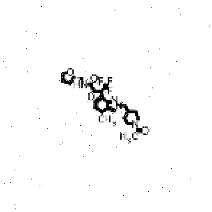 CC(=O)N1CCC(Cn2cc3c(n2)-c2c(oc(C(=O)NC[C@@H]4CCCO4)c2C(F)(F)F)C[C@H]3C)CC1